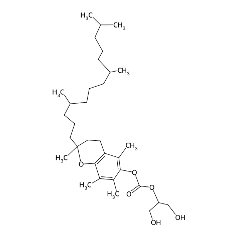 Cc1c(C)c2c(c(C)c1OC(=O)OC(CO)CO)CCC(C)(CCCC(C)CCCC(C)CCCC(C)C)O2